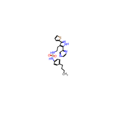 CCCCc1ccc(NS(=O)(=O)NCCc2c(-c3cccs3)n[nH]c2-c2cnccn2)cc1